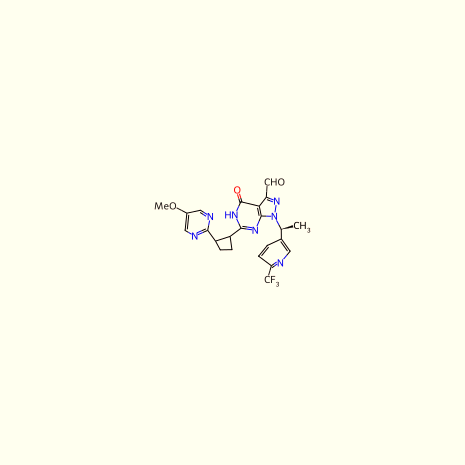 COc1cnc(C2CCC2c2nc3c(c(C=O)nn3[C@@H](C)c3ccc(C(F)(F)F)nc3)c(=O)[nH]2)nc1